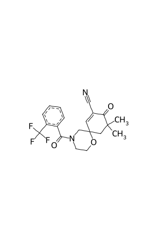 CC1(C)CC2(C=C(C#N)C1=O)CN(C(=O)c1ccccc1C(F)(F)F)CCO2